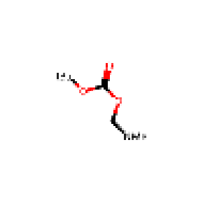 CNCOC(=O)OC(C)(C)C